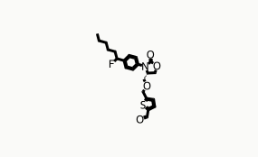 CCCCCC(F)c1ccc(N2C(=O)OC[C@@H]2COCc2ccc(C=O)s2)cc1